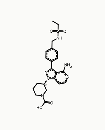 CCS(=O)(=O)NCc1ccc(-c2nn([C@@H]3CCCN(C(=O)O)C3)c3ccnc(N)c23)cc1